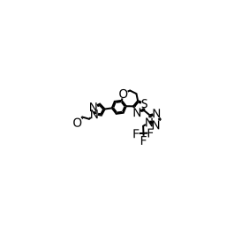 O=CCn1cc(-c2ccc3c(c2)OCCc2sc(-c4ncnn4CC(F)(F)F)nc2-3)cn1